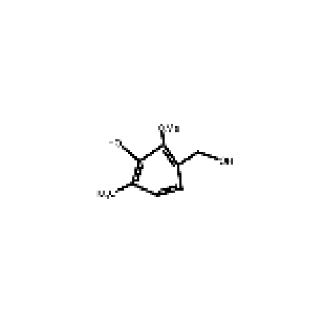 COc1c(CO)ccc(C(=O)O)c1O